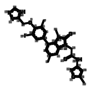 Cc1cc(-c2cc(C)c(OCc3nnc[nH]3)c(F)c2)c2c(c1)n(CC(=O)Nc1cc(C)on1)c(=O)n2C